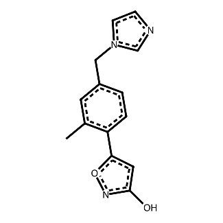 Cc1cc(Cn2ccnc2)ccc1-c1cc(O)no1